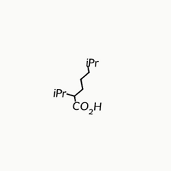 CC(C)CCCC(C(=O)O)C(C)C